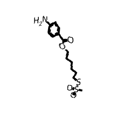 CS(=O)(=O)SCCCCCCOC(=O)c1ccc(N)cc1